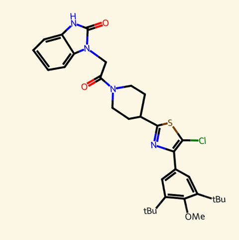 COc1c(C(C)(C)C)cc(-c2nc(C3CCN(C(=O)Cn4c(=O)[nH]c5ccccc54)CC3)sc2Cl)cc1C(C)(C)C